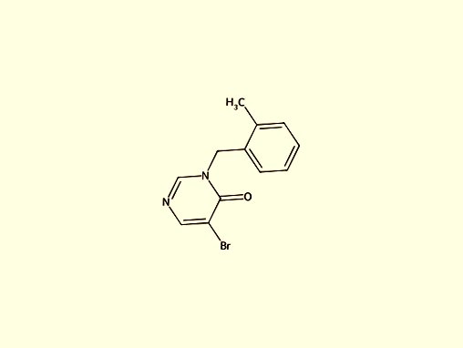 Cc1ccccc1Cn1cncc(Br)c1=O